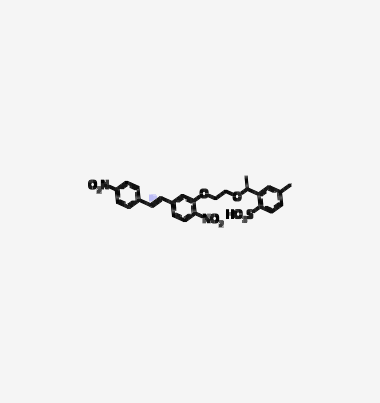 Cc1ccc(S(=O)(=O)O)c(C(C)OCCOc2cc(/C=C/c3ccc([N+](=O)[O-])cc3)ccc2[N+](=O)[O-])c1